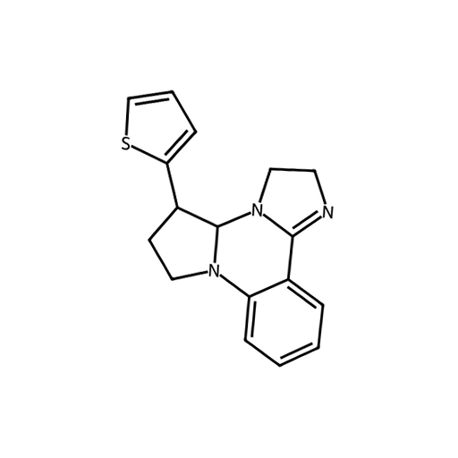 c1csc(C2CCN3c4ccccc4C4=NCCN4C23)c1